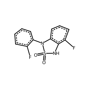 O=S1(=O)Nc2c(F)cccc2N1c1ccccc1F